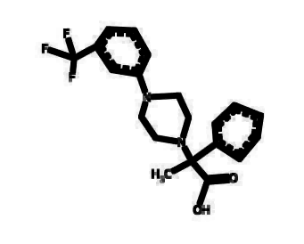 CC(C(=O)O)(c1ccccc1)N1CCN(c2cccc(C(F)(F)F)c2)CC1